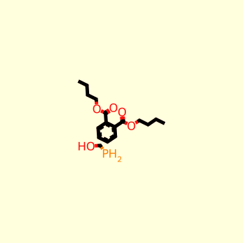 CCCCOC(=O)c1ccccc1C(=O)OCCCC.OCP